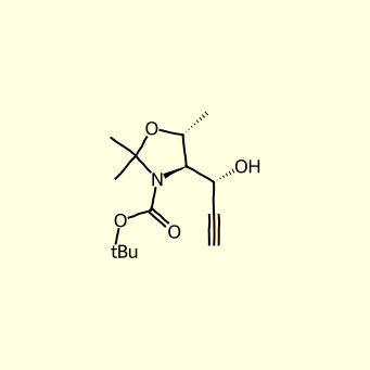 C#C[C@@H](O)[C@@H]1[C@@H](C)OC(C)(C)N1C(=O)OC(C)(C)C